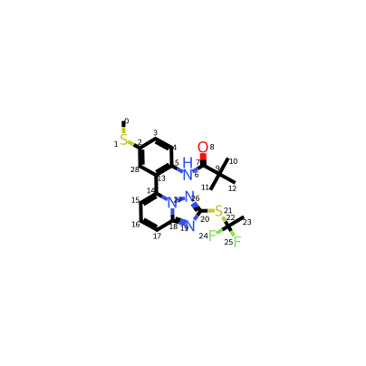 CSc1ccc(NC(=O)C(C)(C)C)c(-c2cccc3nc(SC(C)(F)F)nn23)c1